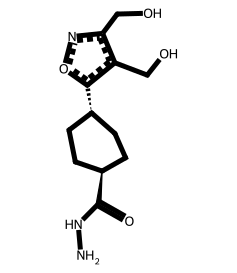 NNC(=O)[C@H]1CC[C@H](c2onc(CO)c2CO)CC1